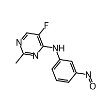 Cc1ncc(F)c(Nc2cccc(N=O)c2)n1